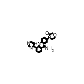 NC(=O)c1cccc(-c2ccncn2)c1Nc1ccc(N2CCOCC2=O)cc1